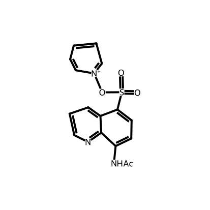 CC(=O)Nc1ccc(S(=O)(=O)O[n+]2ccccc2)c2cccnc12